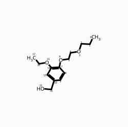 CCCOCCOc1ccc(CO)cc1OCC